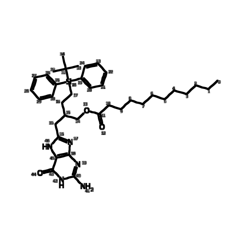 CCCCCCCCCCCC(=O)OCC(CC[Si](c1ccccc1)(c1ccccc1)C(C)(C)C)Cc1nc2nc(N)[nH]c(=O)c2[nH]1